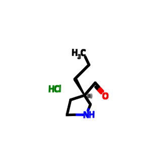 CCC[C@]1(C=O)CCNC1.Cl